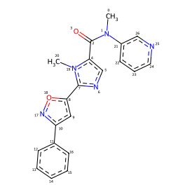 CN(C(=O)c1cnc(-c2cc(-c3ccccc3)no2)n1C)c1cccnc1